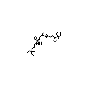 CCC(C)(CC)CCCNC(=O)CCC(C)SSCCC(=O)C(C)(CC)CC